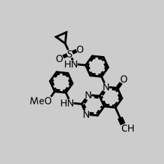 C#Cc1cc(=O)n(-c2cccc(NS(=O)(=O)C3CC3)c2)c2nc(Nc3ccccc3OC)ncc12